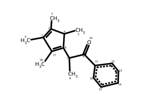 CC1=C(C)C(C)C(C(C)C(=O)c2ccccc2)=C1C